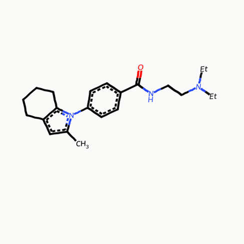 CCN(CC)CCNC(=O)c1ccc(-n2c(C)cc3c2CCCC3)cc1